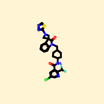 O=C(NC1CCC(CN2C(=O)C3(CN(c4nncs4)C3)c3ccccc32)CC1)c1cc(Cl)cnc1C(F)F